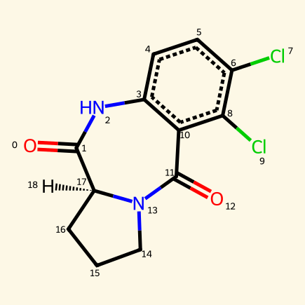 O=C1Nc2ccc(Cl)c(Cl)c2C(=O)N2CCC[C@@H]12